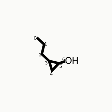 CCCC1CC1O